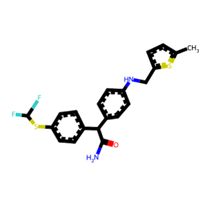 Cc1ccc(CNc2ccc(C(C(N)=O)c3ccc(SC(F)F)cc3)cc2)s1